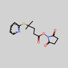 CC(C)(CCC(=O)ON1C(=O)CCC1=O)Sc1ccccn1